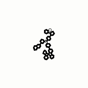 c1ccc(C2(c3ccccc3)c3ccccc3-c3ccc(-c4ccc(N(c5ccc(-c6cccc7oc8ccccc8c67)cc5)c5cccc(-c6ccc7ccccc7c6)c5)cc4)cc32)cc1